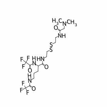 CN(C)CC(=O)NCCSSCCNC(=O)C(CCCNC(=O)C(F)(F)F)NC(=O)C(F)(F)F